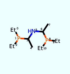 CCP(CC)C(C)NC(C)P(CC)CC